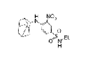 CCNS(=O)(=O)c1ccc(NC2C3CC4CC(C3)CC2C4)c([N+](=O)[O-])c1